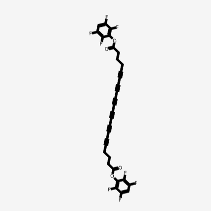 O=C(CCCC#CC#CC#CC#CC#CC#CCCCC(=O)Oc1c(F)c(F)cc(F)c1F)Oc1c(F)c(F)cc(F)c1F